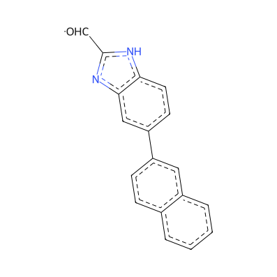 O=[C]c1nc2cc(-c3ccc4ccccc4c3)ccc2[nH]1